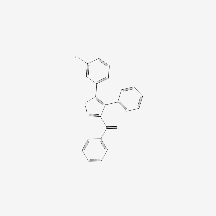 O=C(c1ccccc1)c1n[nH]c(-c2cccc(Br)c2)c1-c1ccccc1